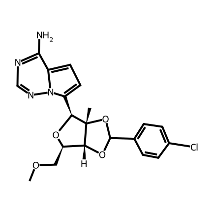 COC[C@H]1O[C@@H](c2ccc3c(N)ncnn23)[C@]2(C)OC(c3ccc(Cl)cc3)O[C@H]12